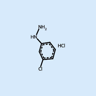 Cl.NNc1cccc(Cl)c1